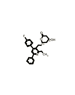 CCc1nc(-c2ccccc2)cc(-c2ccc(F)cc2)c1CC[C@H]1C[C@@H](O)CC(=O)O1